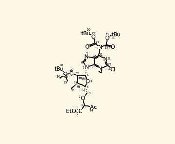 CCOC(=O)C(OC[C@H]1O[C@@H](n2cnc3c(N(C(=O)OC(C)(C)C)C(=O)OC(C)(C)C)nc(Cl)nc32)[C@H](O[Si](C)(C)C(C)(C)C)[C@@H]1C)C(C)=O